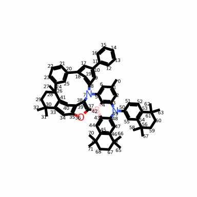 Cc1cc2c3c(c1)N1c4cc(-c5ccccc5)cc(c4)-c4cccc(c4)C4(C)CCC(C)(C)c5cc6oc(c1c6cc54)B3c1cc3c(cc1N2c1ccc2c(c1)C(C)(C)CCC2(C)C)C(C)(C)CCC3(C)C